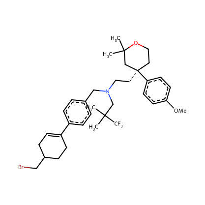 COc1ccc([C@]2(CCN(Cc3ccc(C4=CCC(CBr)CC4)cc3)CC(C)(C)C(F)(F)F)CCOC(C)(C)C2)cc1